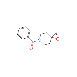 O=C(c1ccccc1)N1CCC2(CC1)CO2